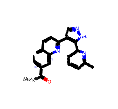 C=c1ccc(-c2cn[nH]c2-c2cccc(C)n2)n/c1=C/C(=C\C)C(=O)NC